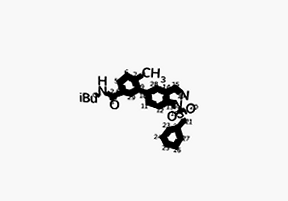 CCC(C)NC(=O)c1ccc(C)c(-c2ccc3c(cnn3S(=O)(=O)Cc3ccccc3)c2)c1